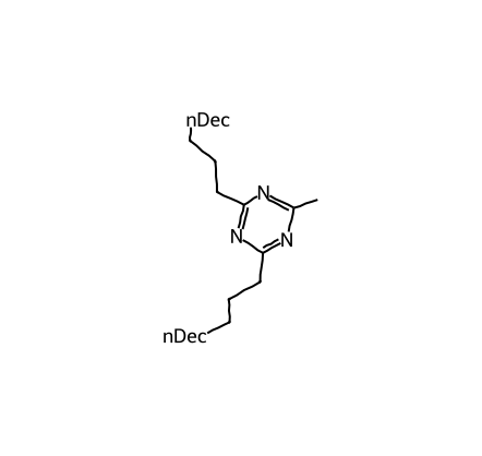 CCCCCCCCCCCCCc1nc(C)nc(CCCCCCCCCCCCC)n1